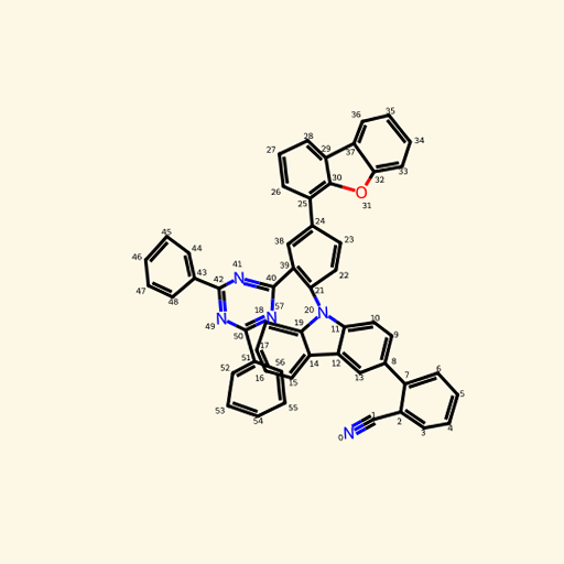 N#Cc1ccccc1-c1ccc2c(c1)c1ccccc1n2-c1ccc(-c2cccc3c2oc2ccccc23)cc1-c1nc(-c2ccccc2)nc(-c2ccccc2)n1